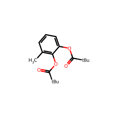 Cc1cccc(OC(=O)C(C)(C)C)c1OC(=O)C(C)(C)C